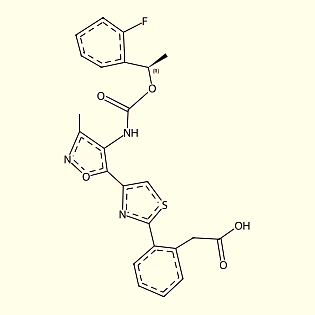 Cc1noc(-c2csc(-c3ccccc3CC(=O)O)n2)c1NC(=O)O[C@H](C)c1ccccc1F